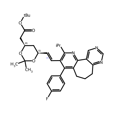 CC(C)c1nc2c(c(-c3ccc(F)cc3)c1/C=C/[C@@H]1C[C@H](CC(=O)OC(C)(C)C)OC(C)(C)O1)CCCc1ncncc1-2